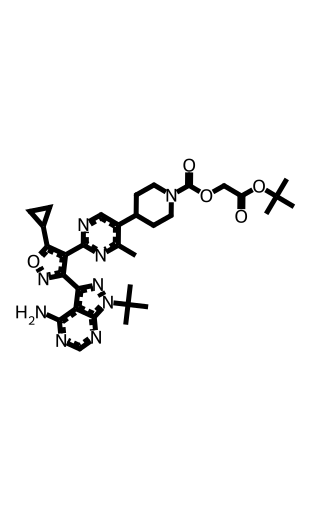 Cc1nc(-c2c(-c3nn(C(C)(C)C)c4ncnc(N)c34)noc2C2CC2)ncc1C1CCN(C(=O)OCC(=O)OC(C)(C)C)CC1